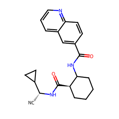 N#C[C@@H](NC(=O)[C@@H]1CCCCC1NC(=O)c1ccc2ncccc2c1)C1CC1